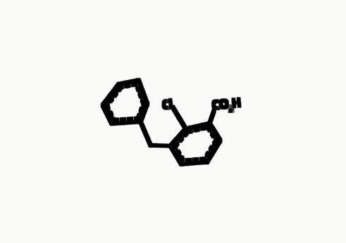 O=C(O)c1cccc(Cc2ccccc2)c1Cl